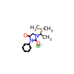 CC(N1CC(=O)N(c2ccccc2)C1=O)[S+](C)C.[Br-]